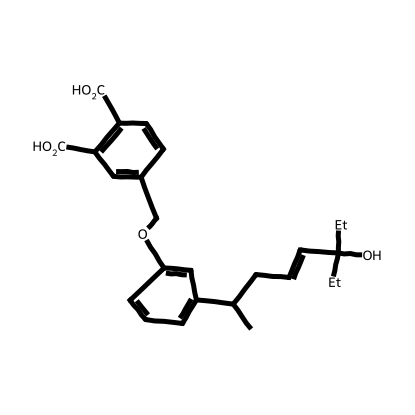 CCC(O)(C=CCC(C)c1cccc(OCc2ccc(C(=O)O)c(C(=O)O)c2)c1)CC